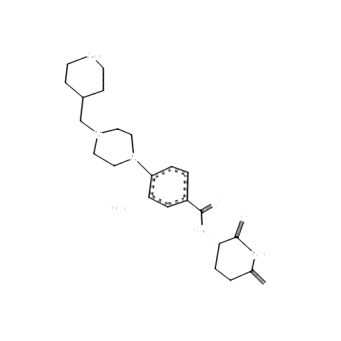 Cl.O=C1CC[C@H](NC(=O)c2ccc(N3CCN(CC4CCNCC4)CC3)cc2)C(=O)N1